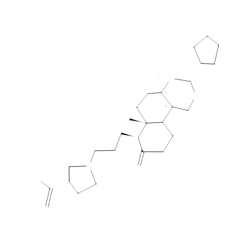 C=C1CCC2[C@]3(C)CO[C@@H](C4CCCC4)O[C@@H]3CC[C@@]2(C)[C@@H]1CCCN1CC[C@H](C(=O)O)C1